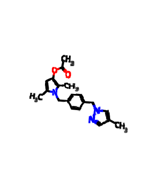 CC(=O)Oc1cc(C)n(Cc2ccc(Cn3cc(C)cn3)cc2)c1C